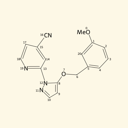 COc1cccc(COc2ccnn2-c2cc(C#N)ccn2)c1